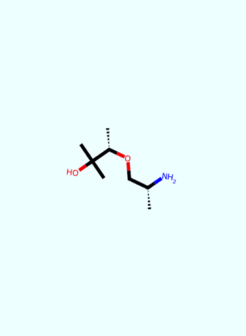 C[C@H](OC[C@@H](C)N)C(C)(C)O